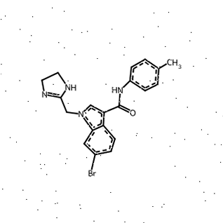 Cc1ccc(NC(=O)c2cn(CC3=NCCN3)c3cc(Br)ccc23)cc1